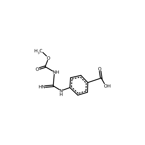 COC(=O)NC(=N)Nc1ccc(C(=O)O)cc1